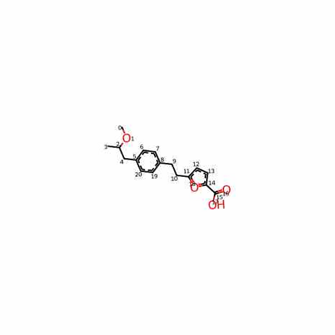 COC(C)Cc1ccc(CCc2ccc(C(=O)O)o2)cc1